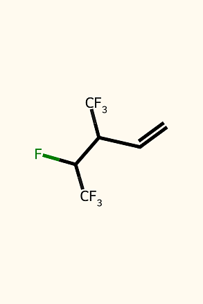 C=CC(C(F)C(F)(F)F)C(F)(F)F